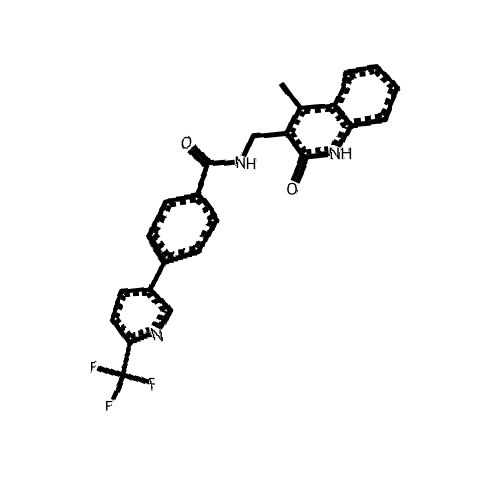 Cc1c(CNC(=O)c2ccc(-c3ccc(C(F)(F)F)nc3)cc2)c(=O)[nH]c2ccccc12